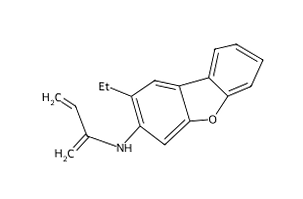 C=CC(=C)Nc1cc2oc3ccccc3c2cc1CC